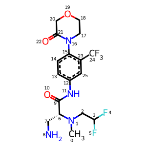 CN(CC(F)F)[C@H](CN)C(=O)Nc1ccc(N2CCOCC2=O)c(C(F)(F)F)c1